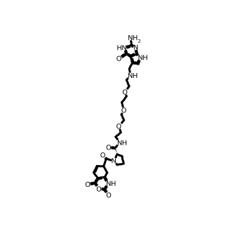 Nc1nc2[nH]cc(CNCCOCCOCCOCCNC(=O)[C@@H]3CCCN3C(=O)C3C=Cc4c([nH]c(=O)oc4=O)C3)c2c(=O)[nH]1